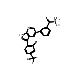 CN(C)C(=O)c1cccc(-c2cnc3[nH]nc(-c4ccc(C(F)(F)F)cc4F)c3c2)c1